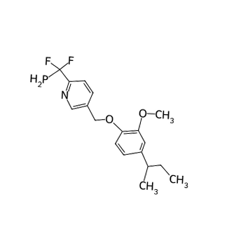 CCC(C)c1ccc(OCc2ccc(C(F)(F)P)nc2)c(OC)c1